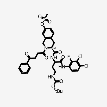 CC(C)(C)OC(=O)NCCC(NC(=O)[C@@H]1Cc2ccc(OS(C)(=O)=O)cc2CN1C(=O)CCC(=O)c1ccccc1)C(=O)Nc1ccc(Cl)c(Cl)c1F